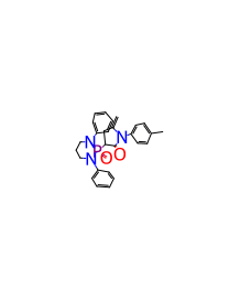 C=C1CC(P2(=O)N(c3ccccc3)CCCN2c2ccccc2)C(=O)N1c1ccc(C)cc1